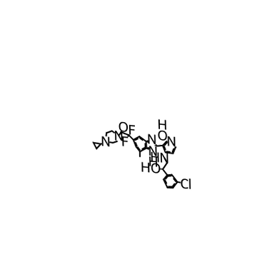 Cc1cc(C(F)(F)C(=O)N2CCN(C3CC3)CC2)cc2nc(-c3c(NC[C@H](O)c4cccc(Cl)c4)ccnc3O)[nH]c12